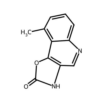 Cc1cccc2ncc3[nH]c(=O)oc3c12